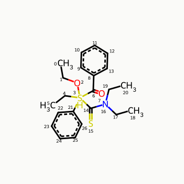 CCO[SH](CC)(C(=O)c1ccccc1)(C(=S)N(CC)CC)c1ccccc1